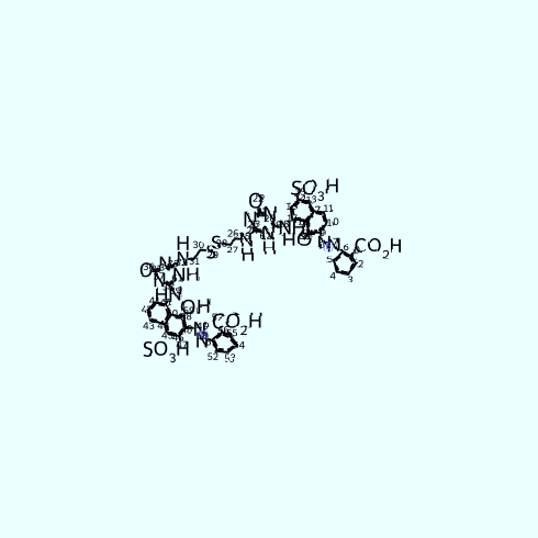 O=C(O)c1ccccc1/N=N/c1ccc2cc(S(=O)(=O)O)cc(Nc3nc(=O)nc(NCCSSCCNc4nc(=O)nc(Nc5cccc6cc(S(=O)(=O)O)c(/N=N/c7ccccc7C(=O)O)c(O)c56)[nH]4)[nH]3)c2c1O